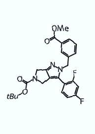 COC(=O)c1cccc(Cn2nc3c(c2-c2ccc(F)cc2F)CN(C(=O)OC(C)(C)C)C3)c1